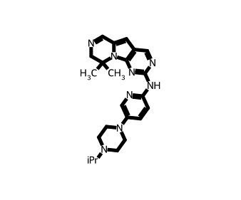 CC(C)N1CCN(c2ccc(Nc3ncc4cc5n(c4n3)C(C)(C)CN=C5)nc2)CC1